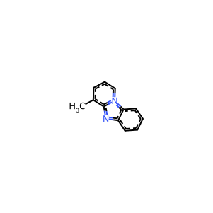 Cc1cccn2c1nc1ccccc12